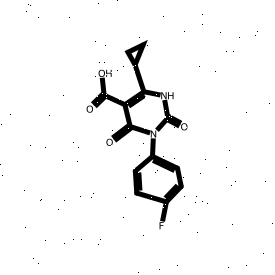 O=C(O)c1c(C2CC2)[nH]c(=O)n(-c2ccc(F)cc2)c1=O